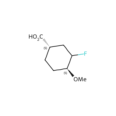 CO[C@H]1CC[C@H](C(=O)O)CC1F